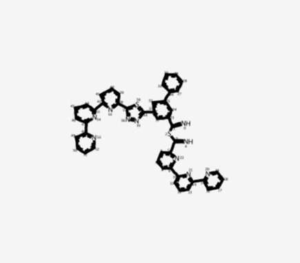 N=C(SC(=N)c1cccc(-c2cccc(-c3ccccn3)n2)n1)c1cc(-c2ccccc2)cc(-c2nnc(-c3cccc(-c4cccc(-c5ccccn5)n4)n3)s2)c1